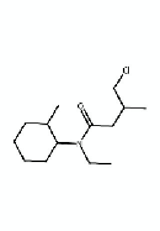 CCN(C(=O)CC(C)CCl)C1CCCCC1C